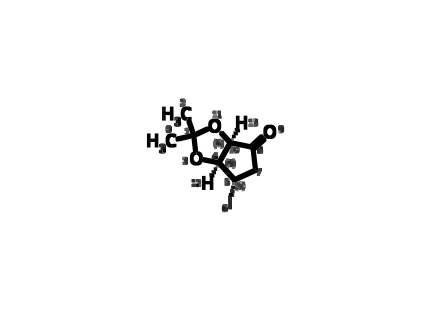 CC1(C)O[C@@H]2[C@@H](I)CC(=O)[C@@H]2O1